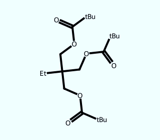 CCC(COC(=O)C(C)(C)C)(COC(=O)C(C)(C)C)COC(=O)C(C)(C)C